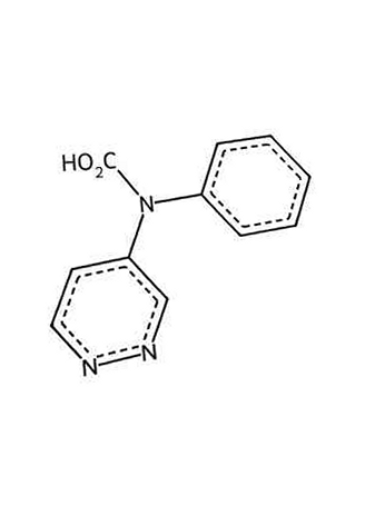 O=C(O)N(c1ccccc1)c1ccnnc1